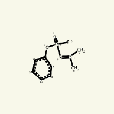 CS(C)=NP(=O)(F)Oc1ccccc1